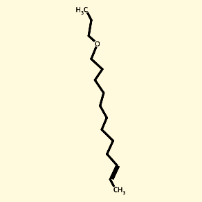 CC=CCCCCCCCCCOCCC